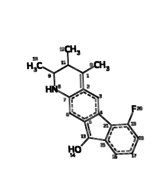 CC1=c2cc3c(cc2NC(C)C1C)=C(O)c1cccc(F)c1-3